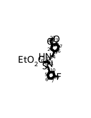 CCOC(=O)c1sc(-c2cccc(F)c2)nc1NCc1ccc2c(c1)OCO2